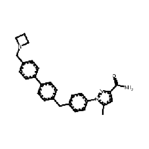 Cc1cc(C(N)=O)nn1-c1ccc(Cc2ccc(-c3ccc(CN4CCC4)cc3)cc2)cc1